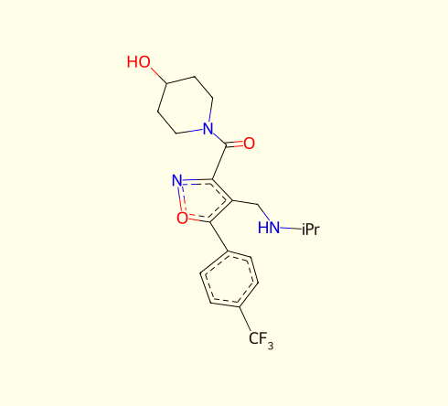 CC(C)NCc1c(C(=O)N2CCC(O)CC2)noc1-c1ccc(C(F)(F)F)cc1